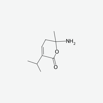 CC(C)C1=CCC(C)(N)OC1=O